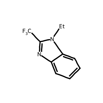 CCn1c(C(F)(F)F)nc2ccccc21